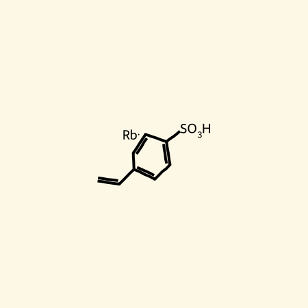 C=Cc1ccc(S(=O)(=O)O)cc1.[Rb]